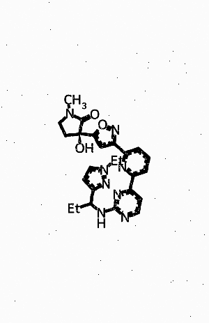 CCC(Nc1nccc(-c2cccc(-c3cc([C@]4(O)CCN(C)C4=O)on3)n2)n1)c1ccn(CC)n1